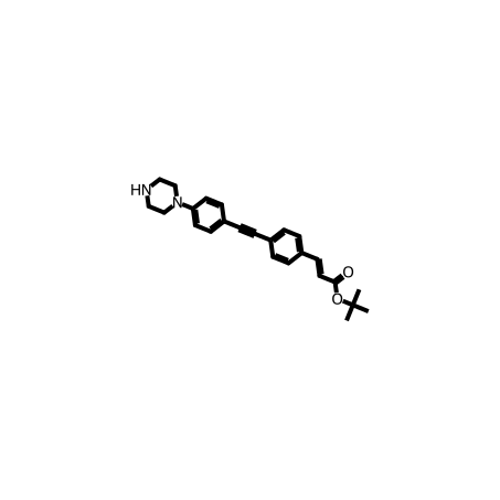 CC(C)(C)OC(=O)/C=C/c1ccc(C#Cc2ccc(N3CCNCC3)cc2)cc1